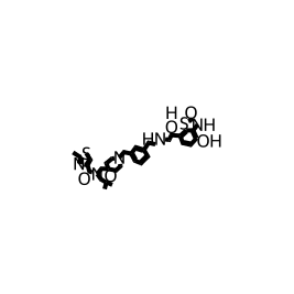 Cc1nc(C(=O)N2CC(C)(C)OC3(CCN(Cc4cccc(CCNC[C@H](O)c5ccc(O)c6[nH]c(=O)sc56)c4)CC3)C2)cs1